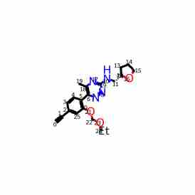 C#Cc1ccc(-c2nnc(NC[C@@H]3CCCO3)nc2C)c(OCOCC)c1